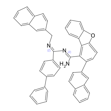 N/C(=N\C(=N/Cc1ccc2ccccc2c1)c1ccc(-c2ccccc2)cc1)c1c(-c2ccc3ccccc3c2)ccc2oc3ccccc3c12